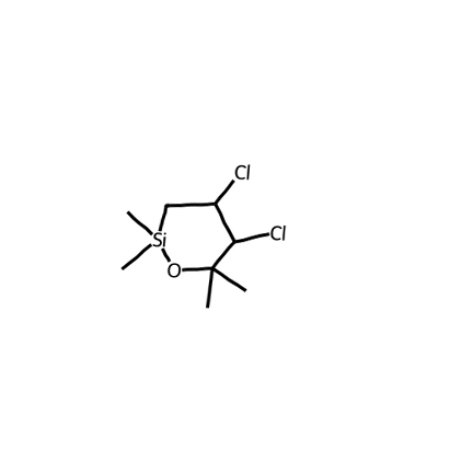 CC1(C)O[Si](C)(C)CC(Cl)C1Cl